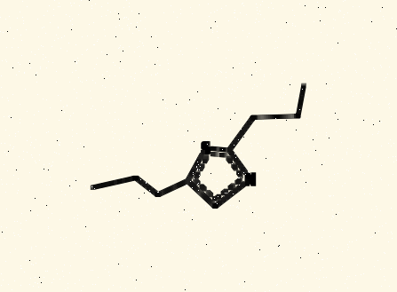 CCCc1cnc(CCC)s1